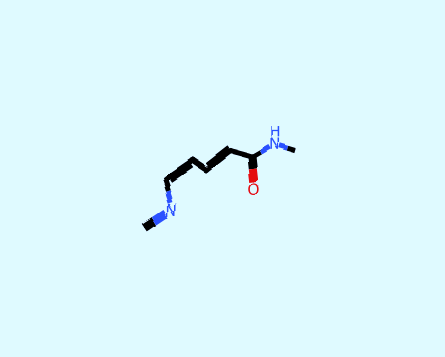 C=N/C=C\C=C\C(=O)NC